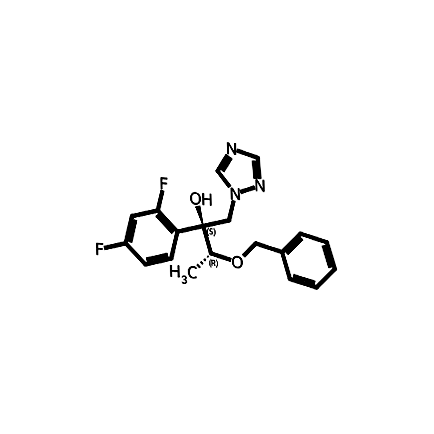 C[C@@H](OCc1ccccc1)[C@@](O)(Cn1cncn1)c1ccc(F)cc1F